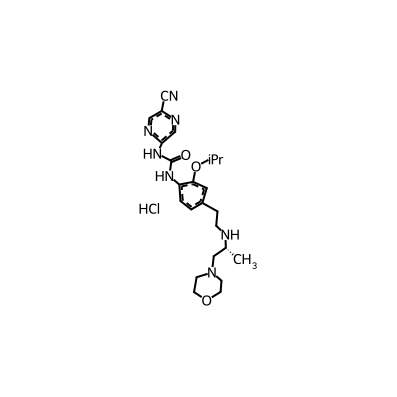 CC(C)Oc1cc(CCN[C@H](C)CN2CCOCC2)ccc1NC(=O)Nc1cnc(C#N)cn1.Cl